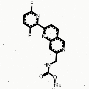 CC(C)(C)OC(=O)NCc1cc2nc(-c3nc(F)ccc3F)ccc2cn1